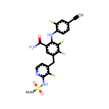 C#Cc1ccc(Nc2c(C(N)=O)cc(Cc3ccnc(NS(=O)(=O)NC)c3F)c(F)c2F)c(F)c1